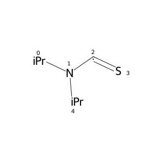 CC(C)N([C]=S)C(C)C